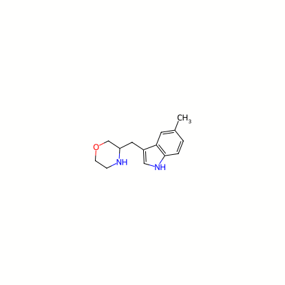 Cc1ccc2[nH]cc(CC3COCCN3)c2c1